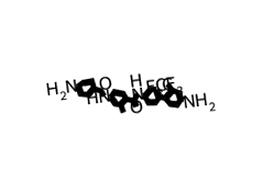 Cc1cc(NC(=O)c2ccc(N)cc2)ccc1C(=O)Nc1ccc(-c2ccc(N)cc2C(F)(F)F)c(C(F)(F)F)c1